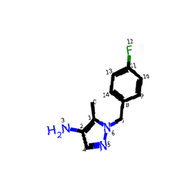 Cc1c(N)cnn1Cc1ccc(F)cc1